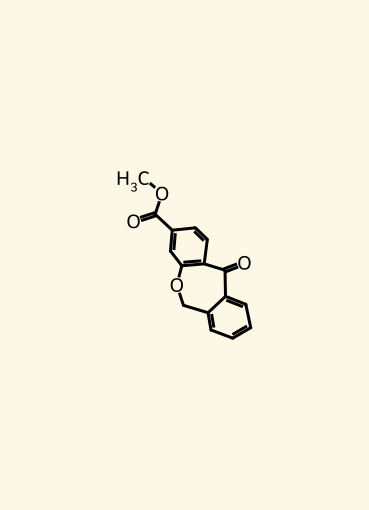 COC(=O)c1ccc2c(c1)OCc1ccccc1C2=O